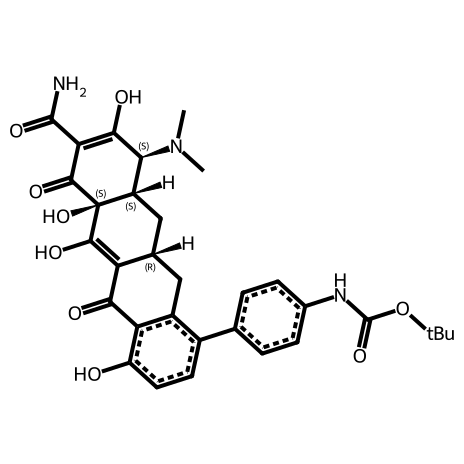 CN(C)[C@@H]1C(O)=C(C(N)=O)C(=O)[C@@]2(O)C(O)=C3C(=O)c4c(O)ccc(-c5ccc(NC(=O)OC(C)(C)C)cc5)c4C[C@H]3C[C@@H]12